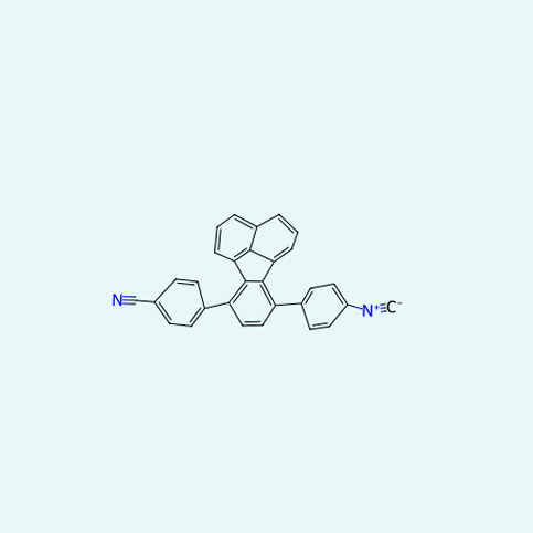 [C-]#[N+]c1ccc(-c2ccc(-c3ccc(C#N)cc3)c3c2-c2cccc4cccc-3c24)cc1